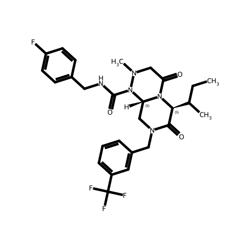 CCC(C)[C@H]1C(=O)N(Cc2cccc(C(F)(F)F)c2)C[C@H]2N1C(=O)CN(C)N2C(=O)NCc1ccc(F)cc1